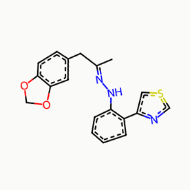 CC(Cc1ccc2c(c1)OCO2)=NNc1ccccc1-c1cscn1